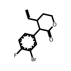 C=CC1CCOC(=O)C1c1ccc(F)c(Br)c1